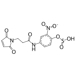 O=C(CCN1C(=O)C=CC1=O)Nc1ccc(OS(=O)O)c([N+](=O)[O-])c1